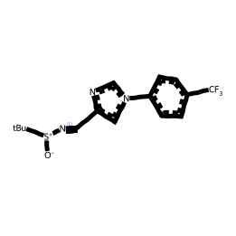 CC(C)(C)[S+]([O-])/N=C/c1cn(-c2ccc(C(F)(F)F)cc2)cn1